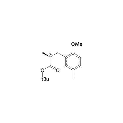 COc1ccc(C)cc1C[C@H](C)C(=O)OC(C)(C)C